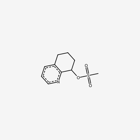 CS(=O)(=O)OC1CCCc2cccnc21